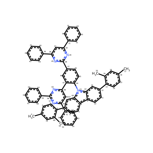 Cc1ccc(-c2ccc3c4ccc(-c5ccc(C)cc5C)cc4n(-c4ccc(-c5nc(-c6ccccc6)cc(-c6ccccc6)n5)cc4-c4cc(-c5ccccc5)nc(-c5ccccc5)n4)c3c2)c(C)c1